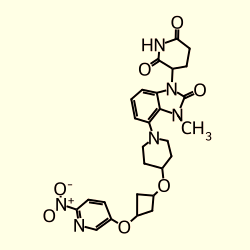 Cn1c(=O)n(C2CCC(=O)NC2=O)c2cccc(N3CCC(OC4CC(Oc5ccc([N+](=O)[O-])nc5)C4)CC3)c21